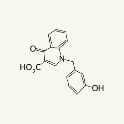 O=C(O)c1cn(Cc2cccc(O)c2)c2ccccc2c1=O